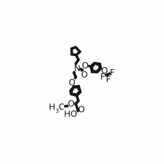 CCOC(Cc1ccc(OCCN(CCC2CCCC2)C(=O)Oc2ccc(OC(F)(F)F)cc2)cc1)C(=O)O